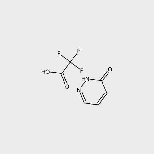 O=C(O)C(F)(F)F.O=c1cccn[nH]1